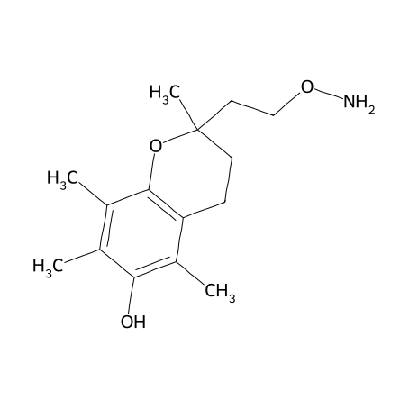 Cc1c(C)c2c(c(C)c1O)CCC(C)(CCON)O2